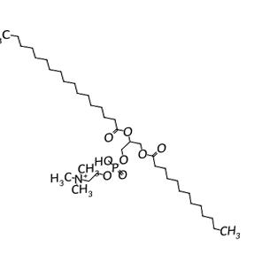 CCCCCCCCCCCCCCCCC(=O)OC(COC(=O)CCCCCCCCCCCC)COP(=O)(O)OCC[N+](C)(C)C